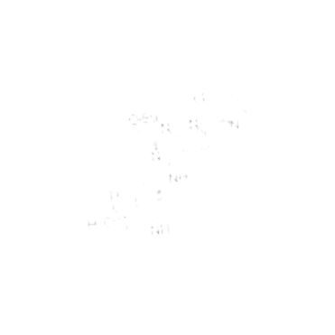 CC(C)COCc1nc(Nc2ccc3c(c2)NCCC3(C)C)c2ccc(-c3ncccc3Cl)nc2n1